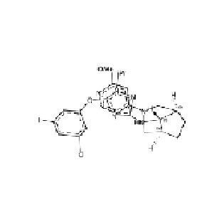 COc1cc(N2C[C@H]3CC[C@@H](C2)[C@@H]3Nc2nc(Oc3cc(F)cc(Cl)c3)n(C(C)C)n2)cnn1